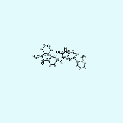 CC(C)c1ccccc1-c1ncc2[nH]c(=O)n(Cc3ccc(C(=O)N(C)C4CCOCC4)cc3)c2n1